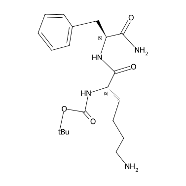 CC(C)(C)OC(=O)N[C@@H](CCCCN)C(=O)N[C@@H](Cc1ccccc1)C(N)=O